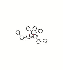 c1ccc(-c2cccc(-c3ccc(-c4cc(-c5cccc(-c6ccccc6)c5)nc(-n5c6ccccc6c6ccc7c8ccccc8n(-c8ccccc8)c7c65)n4)cc3)c2)cc1